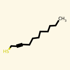 CCCCCCCCC#CCS